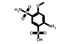 COc1cc(N)c(S(=O)(=O)O)cc1S(N)(=O)=O